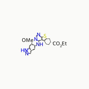 CCOC(=O)[C@@H]1CCc2c(sc3ncnc(Nc4cc5cn[nH]c5cc4OC)c23)C1